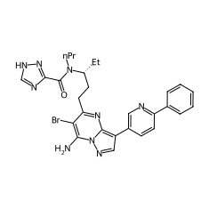 CCCN(C(=O)c1nc[nH]n1)[C@H](CC)CCc1nc2c(-c3ccc(-c4ccccc4)nc3)cnn2c(N)c1Br